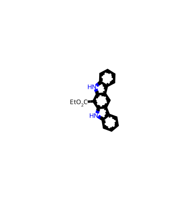 CCOC(=O)c1c2[nH]c3ccccc3c2cc2c1[nH]c1ccccc12